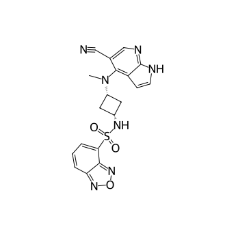 CN(c1c(C#N)cnc2[nH]ccc12)[C@H]1C[C@@H](NS(=O)(=O)c2cccc3nonc23)C1